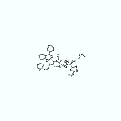 C=CCON=C(C(=O)NC1C(=O)N2C(C(=O)OC(c3ccccc3)c3ccccc3)=C(S/C=C\c3ccccn3)CS[C@@H]12)c1nsc(N)n1